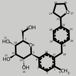 Cc1ccc([C@@H]2O[C@H](CO)[C@@H](O)[C@H](O)[C@H]2O)cc1Cc1ccc(C2CCCO2)cc1